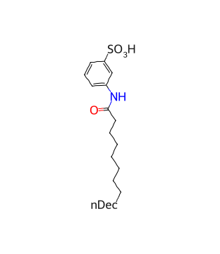 CCCCCCCCCCCCCCCCCC(=O)Nc1cccc(S(=O)(=O)O)c1